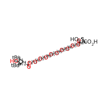 CC(C)(C)c1cc(CCC(=O)OCCOCCOCCOCCOCCOCCOCCOCCOCCOC(=O)CC(C(=O)O)S(=O)(=O)O)cc(C(C)(C)C)c1O